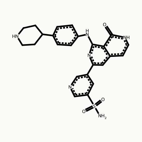 NS(=O)(=O)c1cncc(-c2cc3cc[nH]c(=O)c3c(Nc3ccc(C4CCNCC4)cc3)n2)c1